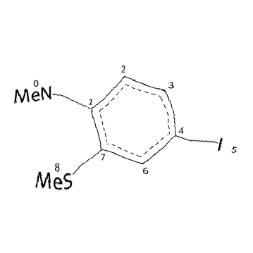 CNc1ccc(I)cc1SC